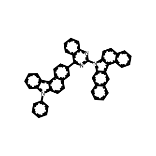 c1ccc(-n2c3ccccc3c3c4ccc(-c5nc(-n6c7cc8ccccc8cc7c7c8ccccc8ccc76)nc6ccccc56)cc4ccc32)cc1